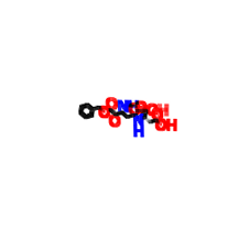 N[C@@H](CC(=O)N[C@@H](CC(=O)O)C(=O)O)C(=O)C(=O)OCc1ccccc1